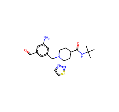 CC(C)(C)NC(=O)C1CCN(Cc2cc(N)cc(C=O)c2)CC1.c1csnn1